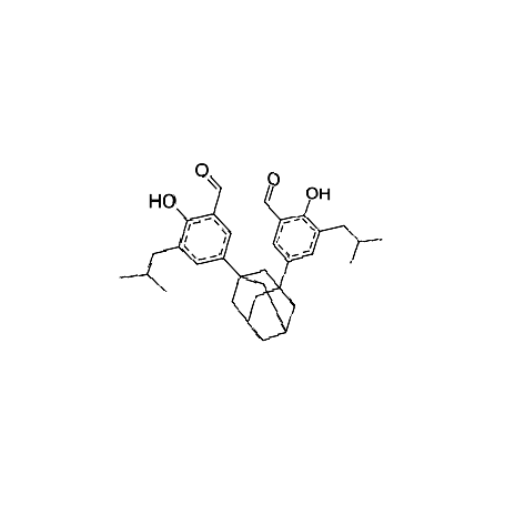 CC(C)Cc1cc(C23CC4CC(C2)CC(c2cc(C=O)c(O)c(CC(C)C)c2)(C4)C3)cc(C=O)c1O